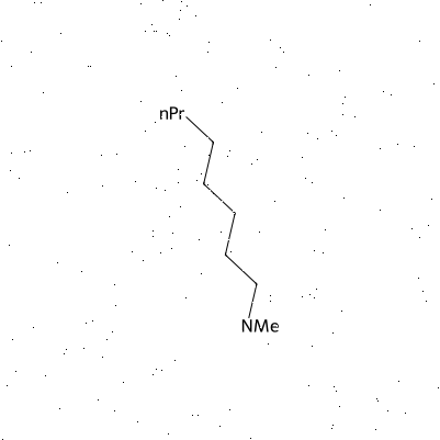 CCCCCCCCNC